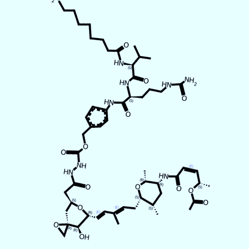 CC(=O)O[C@@H](C)/C=C\C(=O)N[C@@H]1C[C@H](C)[C@H](C/C=C(C)/C=C/[C@H]2O[C@H](CC(=O)NNC(=O)OCc3ccc(NC(=O)[C@H](CCCNC(N)=O)NC(=O)[C@@H](NC(=O)CCCCCCCN)C(C)C)cc3)C[C@@]3(CO3)[C@@H]2O)O[C@@H]1C